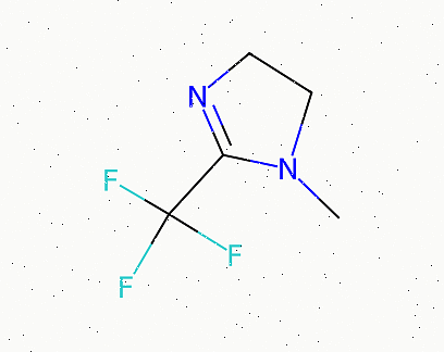 CN1CCN=C1C(F)(F)F